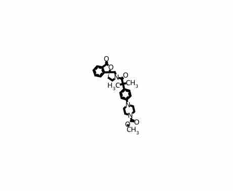 COC(=O)N1CCN(c2ccc(C(C)(C)C(=O)N3CC[C@@]4(C3)OC(=O)c3ccccc34)cc2)CC1